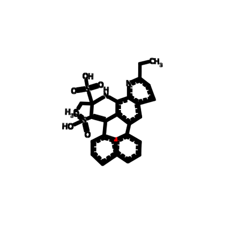 CCc1ccc2cc(-c3ccccc3)c3c(c2n1)NC(CC)(S(=O)(=O)O)C(S(=O)(=O)O)=C3c1ccccc1